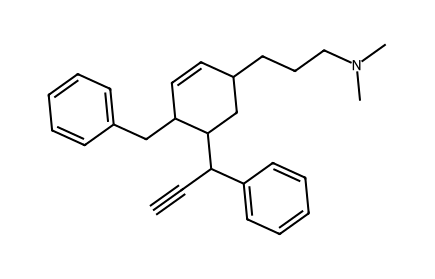 C#CC(c1ccccc1)C1CC(CCCN(C)C)C=CC1Cc1ccccc1